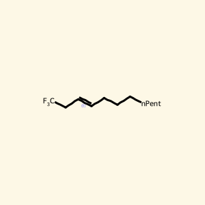 CCCCCCCC/C=C/CC(F)(F)F